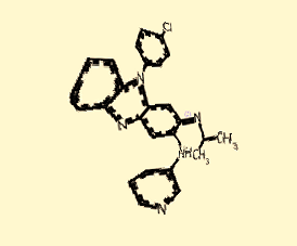 CC(C)/N=c1/cc2n(-c3ccc(Cl)cc3)c3ccccc3nc-2cc1Nc1cccnc1